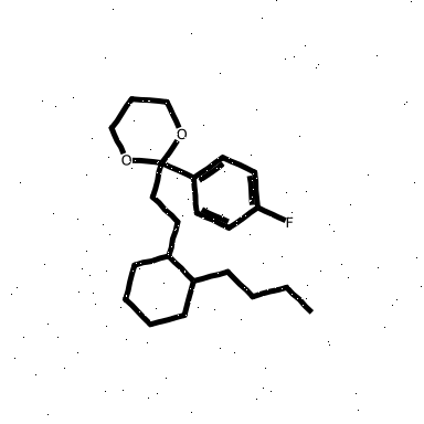 CCCCC1CCCCC1CCC1(c2ccc(F)cc2)OCCCO1